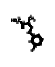 C[C@@H](COc1cccc(F)c1)NC(=O)O